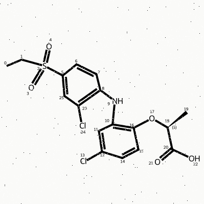 CCS(=O)(=O)c1ccc(Nc2cc(Cl)ccc2O[C@@H](C)C(=O)O)c(Cl)c1